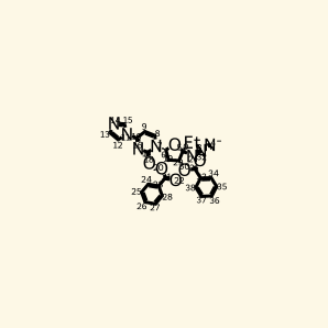 CC[C@@]1(N=[N+]=[N-])O[C@@H](n2ccc(-n3ccnc3)nc2=O)[C@H](OC(=O)c2ccccc2)[C@@H]1OC(=O)c1ccccc1